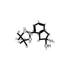 [2H]C1(O)Cc2cccc(B3OC(C)(C)C(C)(C)O3)c2C1